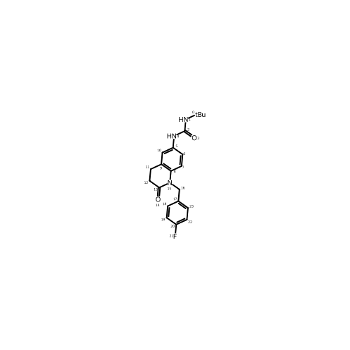 CC(C)(C)NC(=O)Nc1ccc2c(c1)CCC(=O)N2Cc1ccc(F)cc1